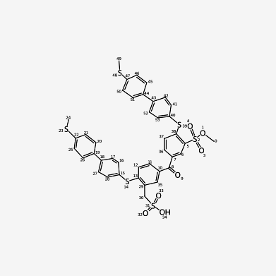 COS(=O)(=O)c1cc(C(=O)c2ccc(Sc3ccc(-c4ccc(SC)cc4)cc3)c(CS(=O)(=O)O)c2)ccc1Sc1ccc(-c2ccc(SC)cc2)cc1